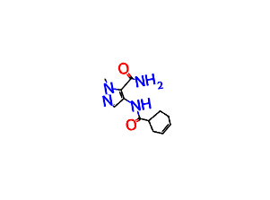 Cn1ncc(NC(=O)C2CC=CCC2)c1C(N)=O